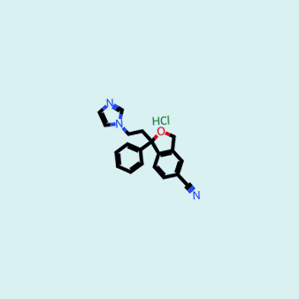 Cl.N#Cc1ccc2c(c1)COC2(CCn1ccnc1)c1ccccc1